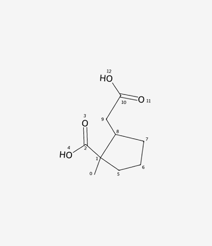 CC1(C(=O)O)CCCC1CC(=O)O